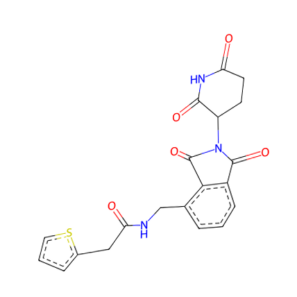 O=C(Cc1cccs1)NCc1cccc2c1C(=O)N(C1CCC(=O)NC1=O)C2=O